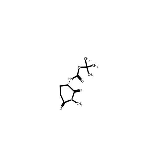 CN1C(=O)CC[C@H](NC(=O)OC(C)(C)C)C1=O